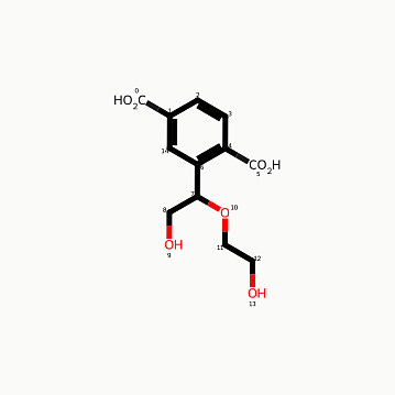 O=C(O)c1ccc(C(=O)O)c(C(CO)OCCO)c1